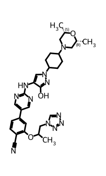 CC(Cn1cnnn1)Oc1cc(-c2cnc(Nc3cn(C4CCC(N5C[C@@H](C)O[C@@H](C)C5)CC4)nc3O)nc2)ccc1C#N